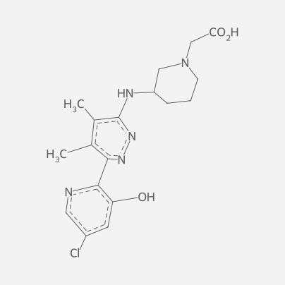 Cc1c(NC2CCCN(CC(=O)O)C2)nnc(-c2ncc(Cl)cc2O)c1C